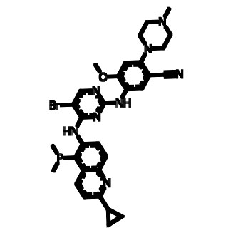 COc1cc(N2CCN(C)CC2)c(C#N)cc1Nc1ncc(Br)c(Nc2ccc3nc(C4CC4)ccc3c2P(C)C)n1